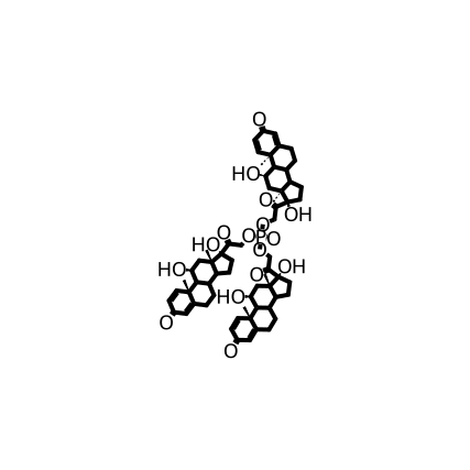 C[C@]12C=CC(=O)C=C1CCC1C2[C@@H](O)C[C@@]2(C)C1CC[C@]2(O)C(=O)COP(=O)(OCC(=O)[C@@]1(O)CCC2C3CCC4=CC(=O)C=C[C@]4(C)C3[C@@H](O)C[C@@]21C)OCC(=O)[C@@]1(O)CCC2C3CCC4=CC(=O)C=C[C@]4(C)C3[C@@H](O)C[C@@]21C